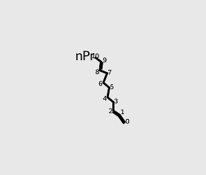 C=C=CCCCCCC=CCCC